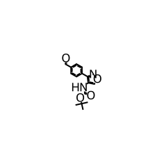 CC(C)(C)OC(=O)Nc1conc1-c1ccc(C=O)cc1